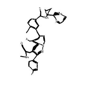 CNC(=O)c1c(-c2ccc(F)cc2)nn2ccc(-c3cc(C(=O)NC4(c5ncccn5)CC4)ccc3C)c(F)c12